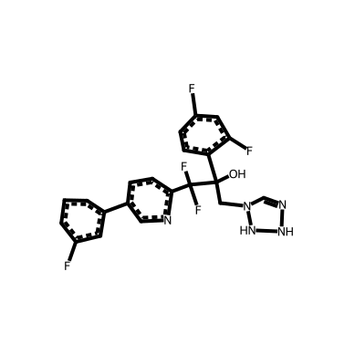 OC(CN1C=NNN1)(c1ccc(F)cc1F)C(F)(F)c1ccc(-c2cccc(F)c2)cn1